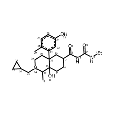 CCNC(=O)NC(=O)C1CCC2(O)C(C)N(CC3CC3)CCC2(c2cc(O)ccc2C)C1